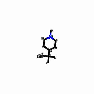 CN1CCC(C(C)(C)C(C)(C)C)CC1